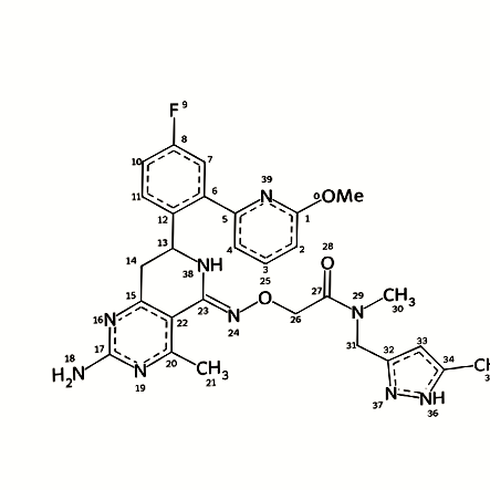 COc1cccc(-c2cc(F)ccc2C2Cc3nc(N)nc(C)c3/C(=N/OCC(=O)N(C)Cc3cc(C)[nH]n3)N2)n1